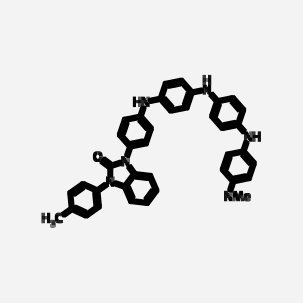 CNc1ccc(Nc2ccc(Nc3ccc(Nc4ccc(-n5c(=O)n(-c6ccc(C)cc6)c6ccccc65)cc4)cc3)cc2)cc1